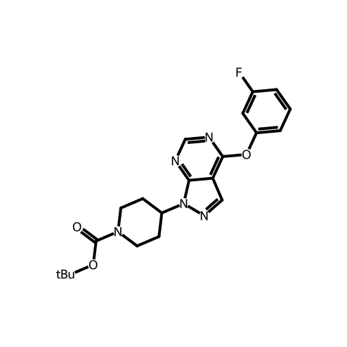 CC(C)(C)OC(=O)N1CCC(n2ncc3c(Oc4cccc(F)c4)ncnc32)CC1